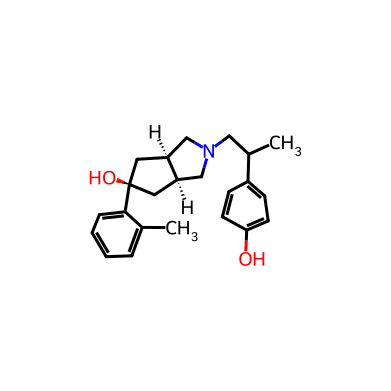 Cc1ccccc1[C@]1(O)C[C@H]2CN(CC(C)c3ccc(O)cc3)C[C@H]2C1